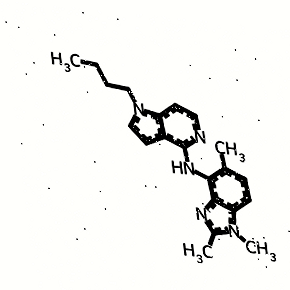 CCCCn1ccc2c(Nc3c(C)ccc4c3nc(C)n4C)nccc21